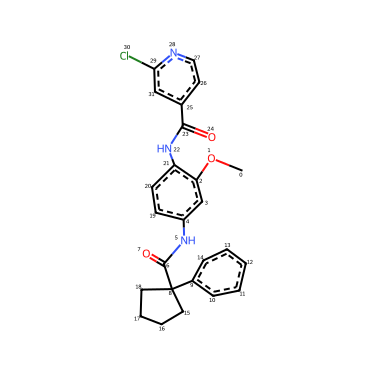 COc1cc(NC(=O)C2(c3ccccc3)CCCC2)ccc1NC(=O)c1ccnc(Cl)c1